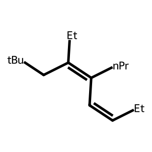 CC/C=C\C(CCC)=C(\CC)CC(C)(C)C